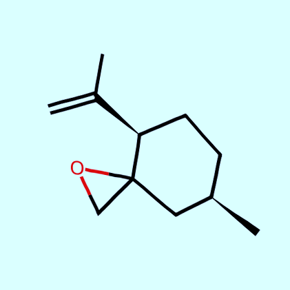 C=C(C)[C@H]1CC[C@@H](C)CC12CO2